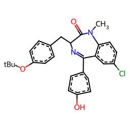 CN1C(=O)C(Cc2ccc(OC(C)(C)C)cc2)N=C(c2ccc(O)cc2)c2cc(Cl)ccc21